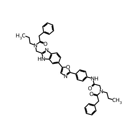 CCCN(CC(=O)Nc1ccc(-c2ncc(-c3ccc4nc(CN(CCC)C(=O)Cc5ccccc5)[nH]c4c3)o2)cc1)C(=O)Cc1ccccc1